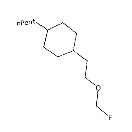 CCCCCC1CCC(CCOCF)CC1